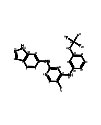 Fc1cnc(Nc2ccc3cn[nH]c3c2)nc1Nc1cccc(OC(F)(F)F)c1